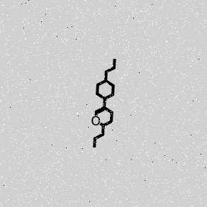 CCCC1CCC(C2=COC(CCC)CC2)CC1